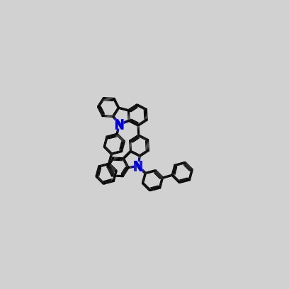 C1=CC2c3cccc(C4=CC5c6ccccc6N(C6C=C(c7ccccc7)C=CC6)C5C=C4)c3N(C3=CCC(c4ccccc4)C=C3)C2C=C1